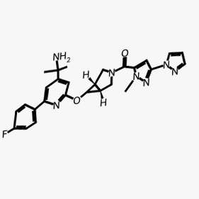 Cn1nc(-n2cccn2)cc1C(=O)N1C[C@@H]2C(Oc3cc(C(C)(C)N)cc(-c4ccc(F)cc4)n3)[C@@H]2C1